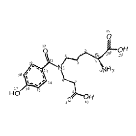 N[C@@H](CCCN(CCC(=O)O)C(=O)c1ccc(O)cc1)C(=O)O